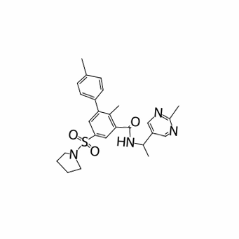 Cc1ccc(-c2cc(S(=O)(=O)N3CCCC3)cc(C(=O)NC(C)c3cnc(C)nc3)c2C)cc1